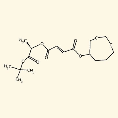 C[C@@H](OC(=O)/C=C/C(=O)OC1CCCCCCC1)C(=O)OC(C)(C)C